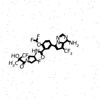 CC(O)(C(=O)N1C[C@H](F)[C@H](NC(=O)c2cc(-c3cc(C(F)(F)F)c4c(N)ncnn34)ccc2OC(F)F)C1)C(F)(F)F